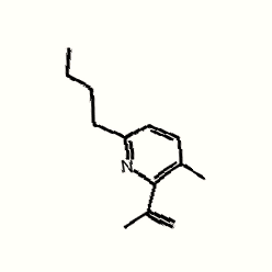 C=C(C)c1nc(CCCC)ccc1C